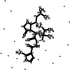 Cc1occc1C(=O)N[C@@H](CC(C)(C)C(C)C)C(=O)NC1C(=O)COC1CCN(C)C